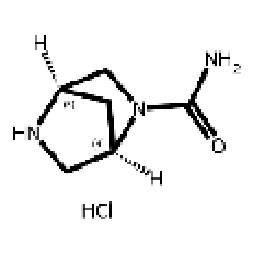 Cl.NC(=O)N1C[C@H]2C[C@@H]1CN2